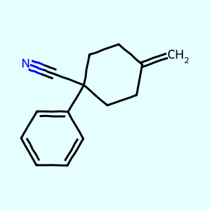 C=C1CCC(C#N)(c2ccccc2)CC1